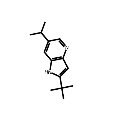 CC(C)c1cnc2cc(C(C)(C)C)[nH]c2c1